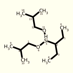 CCC(CC)[SiH](OCC(C)C)OCC(C)C